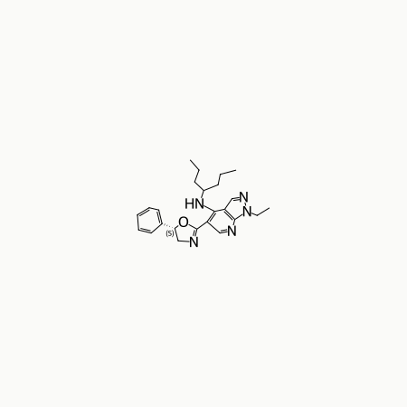 CCCC(CCC)Nc1c(C2=NC[C@H](c3ccccc3)O2)cnc2c1cnn2CC